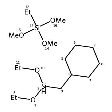 CCO[SiH](CC1CCCCC1)OCC.CC[Si](OC)(OC)OC